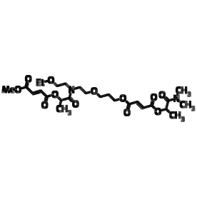 CCOCCN(CCOCCCOC(=O)/C=C/C(=O)OC(C)C(=O)N(C)C)C(=O)C(C)OC(=O)/C=C/C(=O)OC